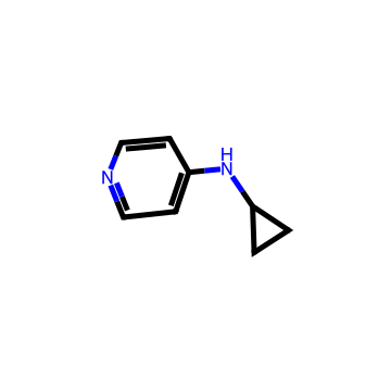 c1cc(NC2CC2)ccn1